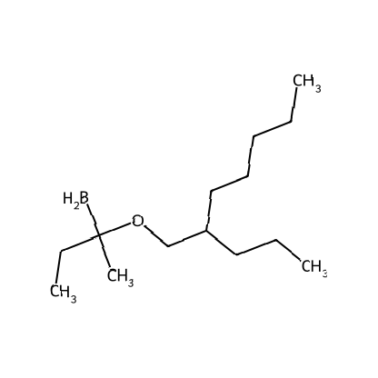 BC(C)(CC)OCC(CCC)CCCCC